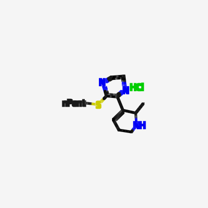 CCCCCSc1nccnc1C1=CCCNC1C.Cl